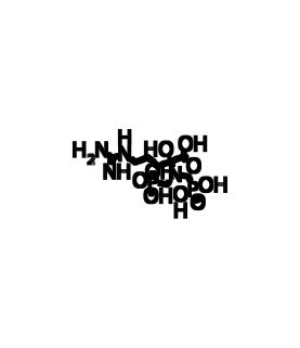 N=C(N)NCCC[C@@](O)(C(=O)O)N(CP(=O)(O)O)CP(=O)(O)O